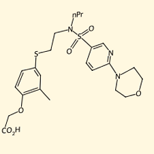 CCCN(CCSc1ccc(OCC(=O)O)c(C)c1)S(=O)(=O)c1ccc(N2CCOCC2)nc1